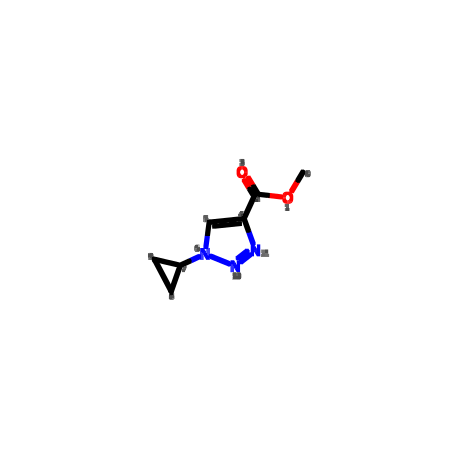 COC(=O)c1cn(C2CC2)nn1